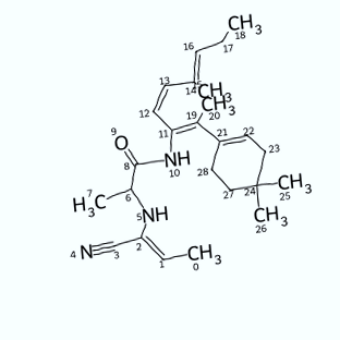 C/C=C(/C#N)NC(C)C(=O)NC(/C=C\C(C)=C\CC)=C(/C)C1=CCC(C)(C)CC1